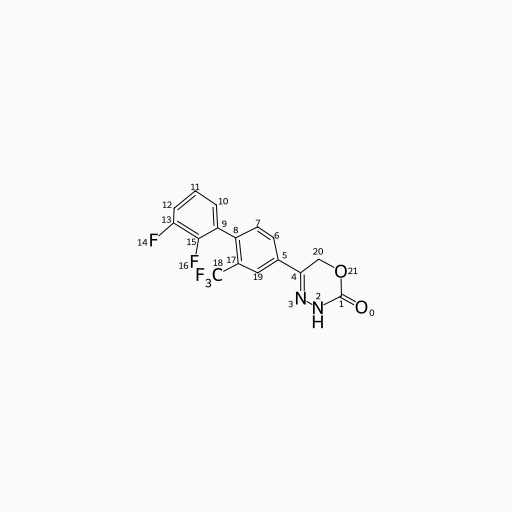 O=C1NN=C(c2ccc(-c3cccc(F)c3F)c(C(F)(F)F)c2)CO1